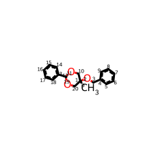 CC1(OCc2ccccc2)COC(c2ccccc2)OC1